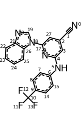 N#Cc1cc(Nc2ccc(C(F)(F)F)cc2)nc(-n2cnc3ccccc32)c1